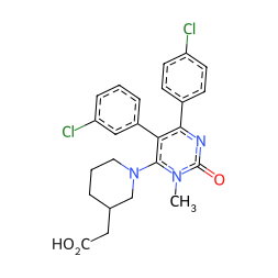 Cn1c(N2CCCC(CC(=O)O)C2)c(-c2cccc(Cl)c2)c(-c2ccc(Cl)cc2)nc1=O